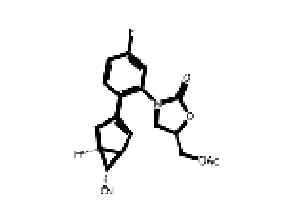 CC(=O)OC[C@H]1CN(c2cc(F)ccc2C2=CC3[C@H](C#N)[C@H]3C2)C(=O)O1